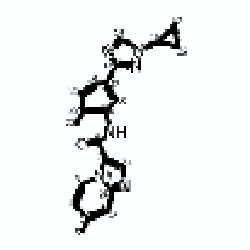 Cc1ccn2c(C(=O)Nc3cc(-c4ncn(C5CC5)n4)ccc3C)cnc2c1